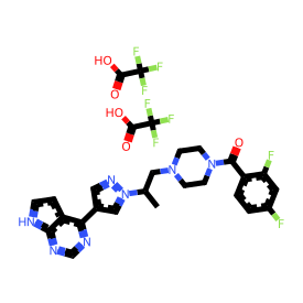 CC(CN1CCN(C(=O)c2ccc(F)cc2F)CC1)n1cc(-c2ncnc3[nH]ccc23)cn1.O=C(O)C(F)(F)F.O=C(O)C(F)(F)F